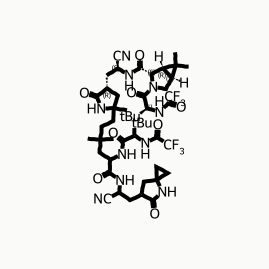 CC(C)(CCC1(C)C[C@@H](C[C@@H](C#N)NC(=O)[C@@H]2[C@@H]3[C@H](CN2C(=O)[C@@H](NC(=O)C(F)(F)F)C(C)(C)C)C3(C)C)C(=O)N1)CC(NC(=O)C(NC(=O)C(F)(F)F)C(C)(C)C)C(=O)NC(C#N)CC1CC2(CC2)NC1=O